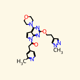 Cc1cc(CC(=O)n2ccc3c(N4CCOCC4)nc(OCCc4cnn(C)c4)nc32)ccn1